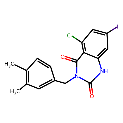 Cc1ccc(Cn2c(=O)[nH]c3cc(I)cc(Cl)c3c2=O)cc1C